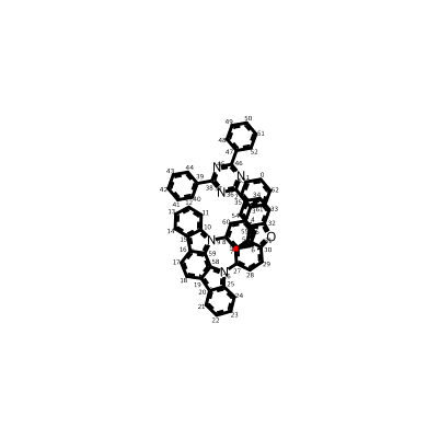 c1ccc(-c2cccc(-n3c4ccccc4c4ccc5c6ccccc6n(-c6ccc7oc8ccc(-c9nc(-c%10ccccc%10)nc(-c%10ccccc%10)n9)cc8c7c6)c5c43)c2)cc1